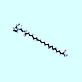 Cc1nccn1CCNC(=O)CCCCCCCCCCCCCCCCCCC(N)=O